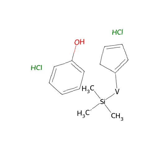 C[Si](C)(C)[V][C]1=CC=CC1.Cl.Cl.Oc1ccccc1